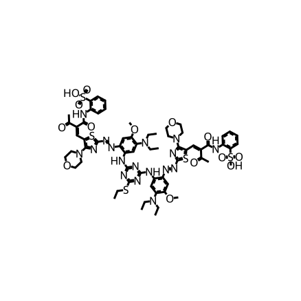 CCSc1nc(Nc2cc(N(CC)CC)c(OC)cc2/N=N/c2nc(N3CCOCC3)c(/C=C(/C(C)=O)C(=O)Nc3ccccc3S(=O)(=O)O)s2)nc(Nc2cc(N(CC)CC)c(OC)cc2/N=N/c2nc(N3CCOCC3)c(/C=C(\C(C)=O)C(=O)Nc3ccccc3S(=O)(=O)O)s2)n1